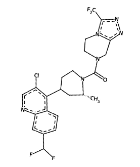 C[C@@H]1CC(c2c(Cl)cnc3cc(C(F)F)ccc23)CCN1C(=O)N1CCn2c(nnc2C(F)(F)F)C1